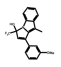 COc1cccc(C2=CC(O)(C(F)(F)F)n3c2c(C)c2ccccc23)c1